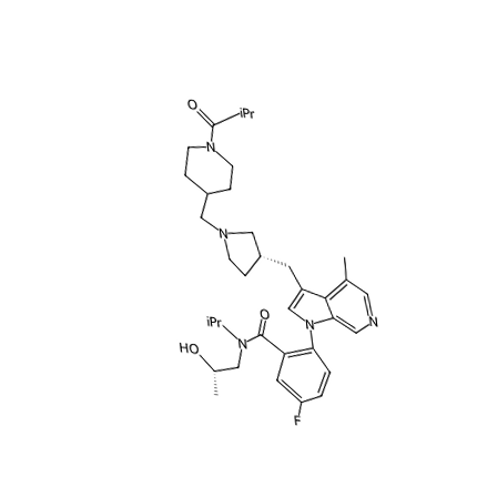 Cc1cncc2c1c(C[C@@H]1CCN(CC3CCN(C(=O)C(C)C)CC3)C1)cn2-c1ccc(F)cc1C(=O)N(C[C@H](C)O)C(C)C